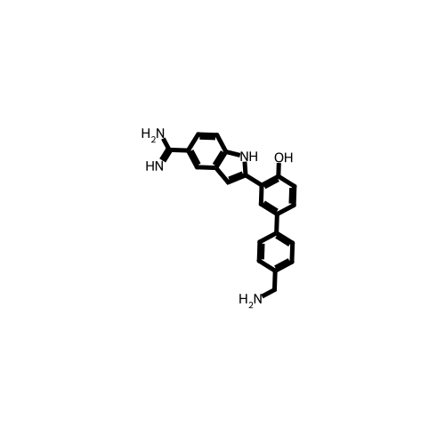 N=C(N)c1ccc2[nH]c(-c3cc(-c4ccc(CN)cc4)ccc3O)cc2c1